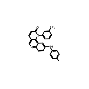 O=c1ccc2cnc3ccc(Nc4ccc(F)nc4)cc3c2n1-c1cccc(C(F)(F)F)c1